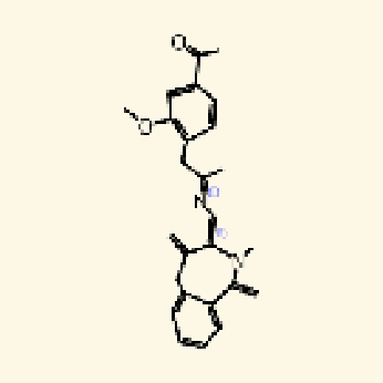 C=C1Cc2ccccc2C(=C)N(C)/C1=C/N=C(\C)Cc1ccc(C(C)=O)cc1OC